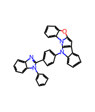 c1ccc(-n2c(-c3ccc(-n4c5ccccc5c5cc6oc7ccccc7n6c54)cc3)nc3ccccc32)cc1